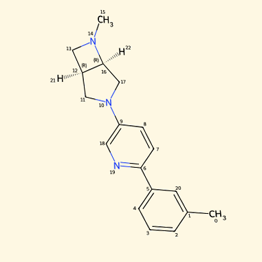 Cc1cccc(-c2ccc(N3C[C@H]4CN(C)[C@H]4C3)cn2)c1